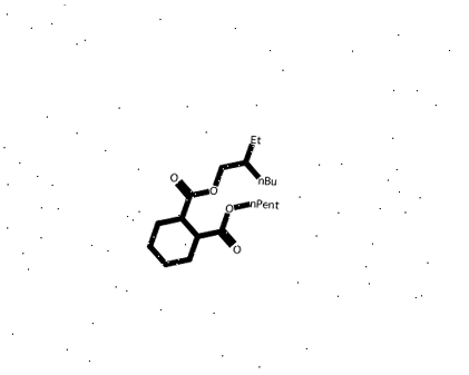 CCCCCOC(=O)C1CCCCC1C(=O)OCC(CC)CCCC